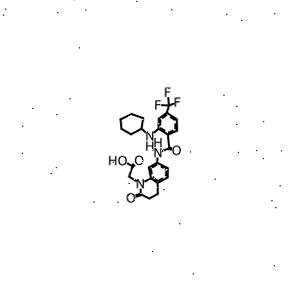 O=C(O)CN1C(=O)CCc2ccc(NC(=O)c3ccc(C(F)(F)F)cc3NC3CCCCC3)cc21